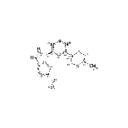 CCOc1ccc2c(c1)[C@H](c1cc(N3CCN(C)CC3)ncn1)NN2